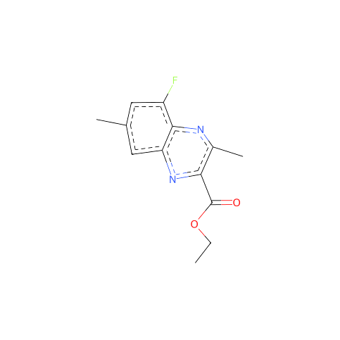 CCOC(=O)c1nc2cc(C)cc(F)c2nc1C